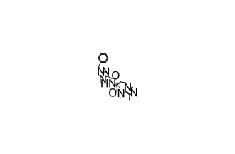 Cc1ncn2c1N(C)C(=O)[C@H](NC(=O)c1ncn(Cc3ccccc3)n1)CC2